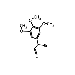 COc1cc(C(Br)C=O)cc(OC)c1OC